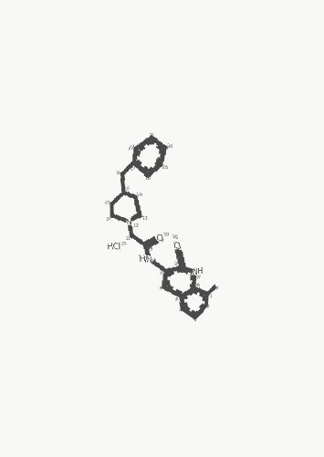 Cc1cccc2cc(NC(=O)CN3CCC(Cc4ccccc4)CC3)c(=O)[nH]c12.Cl